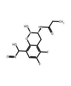 CCC(=O)N[C@H]1Cc2c(F)c(F)cc(C(O)N=O)c2OB1O